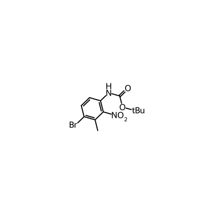 Cc1c(Br)ccc(NC(=O)OC(C)(C)C)c1[N+](=O)[O-]